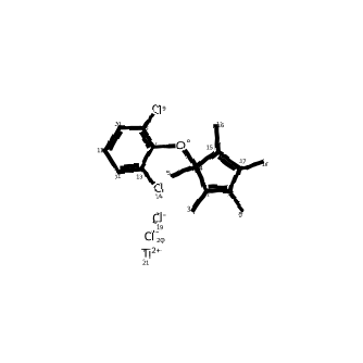 CC1=C(C)C(C)(Oc2c(Cl)cccc2Cl)C(C)=C1C.[Cl-].[Cl-].[Ti+2]